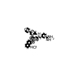 Cl.N=C(N)N1CCC[C@@H](CNC(=O)C[C@H](NS(=O)(=O)c2ccc3ccccc3c2)C(=O)N(CC(=O)N2CCOCC2)C2CC2)C1